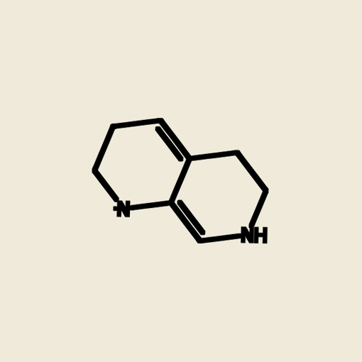 C1=C2CCNC=C2[N]CC1